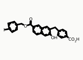 O=C(O)c1ccc(Cc2cc3cc(C(=O)OCc4ccc(I)cc4)ccc3cc2O)cc1